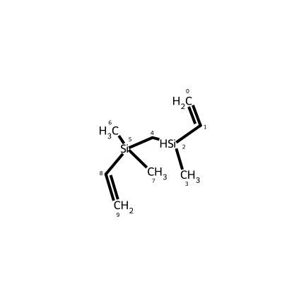 C=C[SiH](C)C[Si](C)(C)C=C